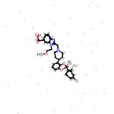 COCCn1c(CN2CCC(c3cccc4c3OC(C)(c3ccc(Cl)cc3F)O4)CC2)nc2ccc(C(=O)O)cc21